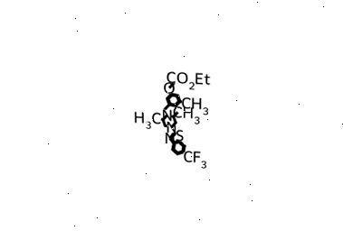 CCOC(=O)COc1cc(C)cc(CN2C(C)CN(c3nc4ccc(C(F)(F)F)cc4s3)CC2C)c1